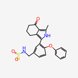 Cc1[nH]c(-c2cc(CN[SH](=O)=O)ccc2Oc2ccccc2)c2c1C(=O)CCC2